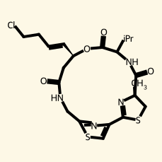 CC(C)C1NC(=O)C2(C)CSC(=N2)c2csc(n2)CNC(=O)C[C@@H](/C=C/CCCl)OC1=O